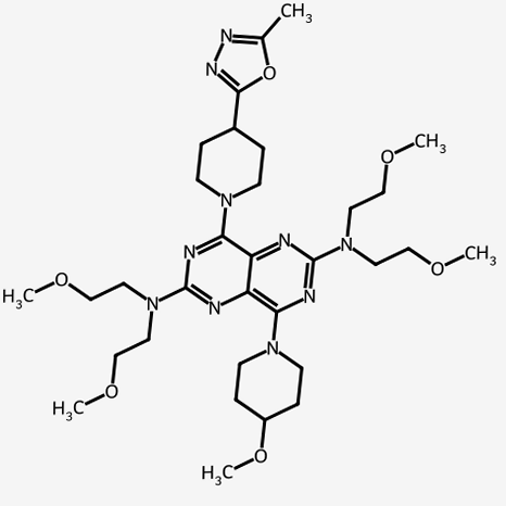 COCCN(CCOC)c1nc(N2CCC(c3nnc(C)o3)CC2)c2nc(N(CCOC)CCOC)nc(N3CCC(OC)CC3)c2n1